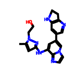 Cc1cc(Nc2cc(-c3cnc4c(c3)NCC4)cn3ccnc23)nn1CCO